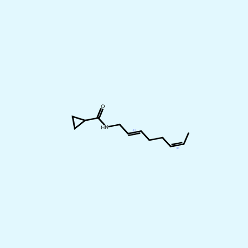 C/C=C\CC/C=C/CNC(=O)C1CC1